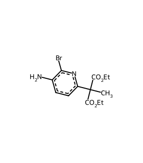 CCOC(=O)C(C)(C(=O)OCC)c1ccc(N)c(Br)n1